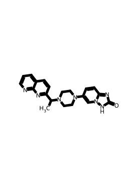 CC(c1ccc2cccnc2n1)N1CCN(c2ccc3nc(=O)[nH]n3c2)CC1